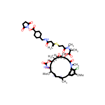 C=C(CC(=O)NCC1CCC(C(=O)ON2C(=O)CCC2=O)CC1)SCCC(=O)N(C)[C@@H](C)C(=O)O[C@H]1CC(=O)N(C)c2cc(cc(OC)c2Cl)C/C(C)=C/C=C/C(OC)[C@@]2(O)C[C@H](OC(=O)N2)[C@@H](C)[C@@H]2O[C@]12C